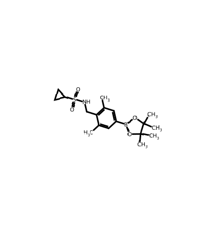 Cc1cc(B2OC(C)(C)C(C)(C)O2)cc(C)c1CNS(=O)(=O)C1CC1